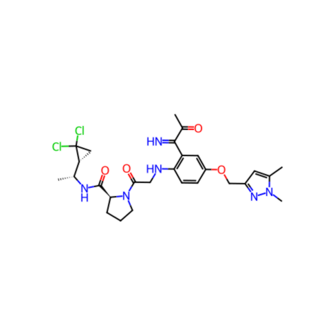 CC(=O)C(=N)c1cc(OCc2cc(C)n(C)n2)ccc1NCC(=O)N1CCC[C@H]1C(=O)N[C@H](C)[C@H]1CC1(Cl)Cl